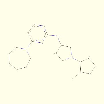 CC1CCCC1N1CCC(Nc2nccc(N3CCCCCC3)n2)C1